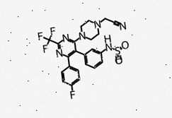 N#CCN1CCN(c2nc(C(F)(F)F)nc(-c3ccc(F)cc3)c2-c2cccc(N[SH](=O)=O)c2)CC1